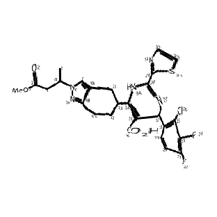 COC(=O)CC(C)n1cc2c(n1)CCC(C1=C(C(=O)O)C(c3ccc(F)c(F)c3Cl)N=C(c3nccs3)N1)C2